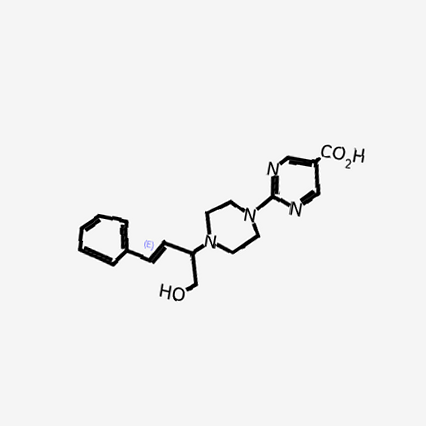 O=C(O)c1cnc(N2CCN(C(/C=C/c3ccccc3)CO)CC2)nc1